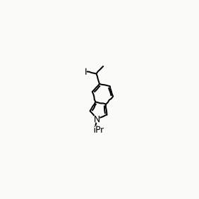 CC(I)c1ccc2cn(C(C)C)cc2c1